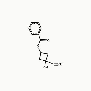 C#CC1(O)CC(OC(=O)c2ccccc2)C1